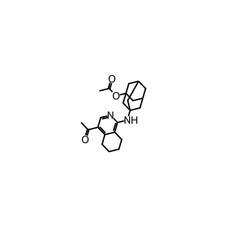 CC(=O)OC12CC3CC(CC(Nc4ncc(C(C)=O)c5c4CCCC5)(C3)C1)C2